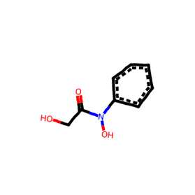 O=C(CO)N(O)c1ccccc1